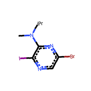 CC(C)N(C)c1nc(Br)cnc1I